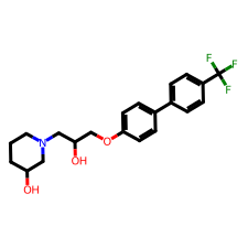 OC1CCCN(CC(O)COc2ccc(-c3ccc(C(F)(F)F)cc3)cc2)C1